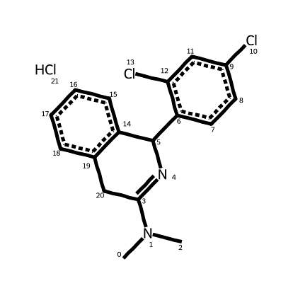 CN(C)C1=NC(c2ccc(Cl)cc2Cl)c2ccccc2C1.Cl